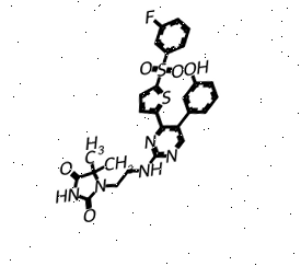 CC1(C)C(=O)NC(=O)N1CCNc1ncc(-c2cccc(O)c2)c(-c2ccc(S(=O)(=O)c3cccc(F)c3)s2)n1